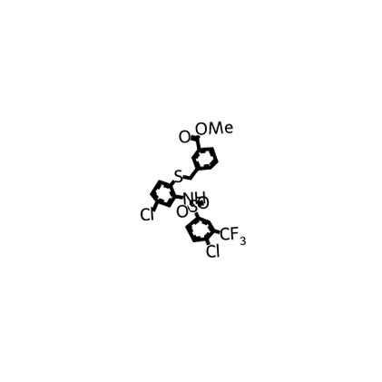 COC(=O)c1cccc(CSc2ccc(Cl)cc2NS(=O)(=O)c2ccc(Cl)c(C(F)(F)F)c2)c1